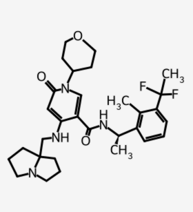 Cc1c([C@@H](C)NC(=O)c2cn(C3CCOCC3)c(=O)cc2NCC23CCCN2CCC3)cccc1C(C)(F)F